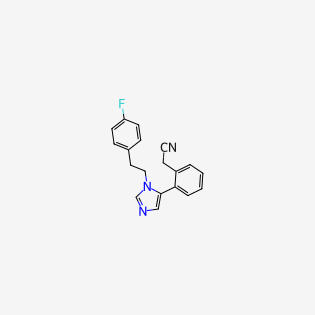 N#CCc1ccccc1-c1cncn1CCc1ccc(F)cc1